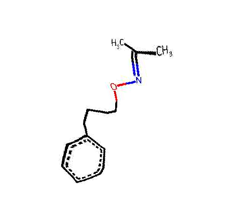 CC(C)=NOCCc1ccccc1